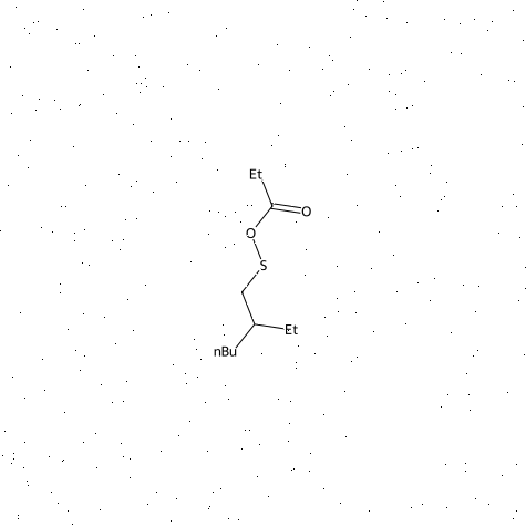 CCCCC(CC)CSOC(=O)CC